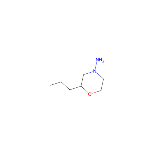 CCCC1CN(N)CCO1